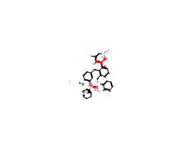 COc1ccc([C@H](Cc2c(Cl)c[n+]([O-])cc2Cl)c2c(CN(C(=O)O[C@H]3CN4CCC3CC4)c3cccc(F)c3F)cccc2C(=O)O)cc1OC